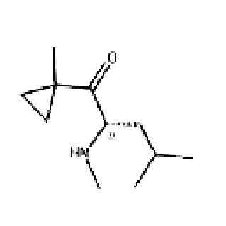 CN[C@@H](CC(C)C)C(=O)C1(C)CC1